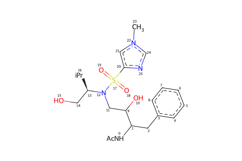 CC(=O)NC(Cc1ccccc1)C(O)CN([C@@H](CO)C(C)C)S(=O)(=O)c1cn(C)cn1